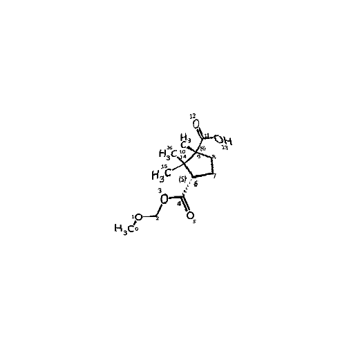 COCOC(=O)[C@H]1CC[C@@](C)(C(=O)O)C1(C)C